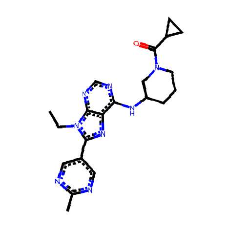 CCn1c(-c2cnc(C)nc2)nc2c(NC3CCCN(C(=O)C4CC4)C3)ncnc21